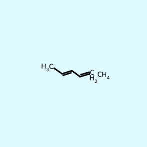 C.C=CC=CC